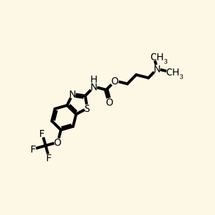 CN(C)CCCOC(=O)Nc1nc2ccc(OC(F)(F)F)cc2s1